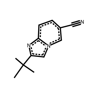 CC(C)(C)c1cn2cc(C#N)ccc2n1